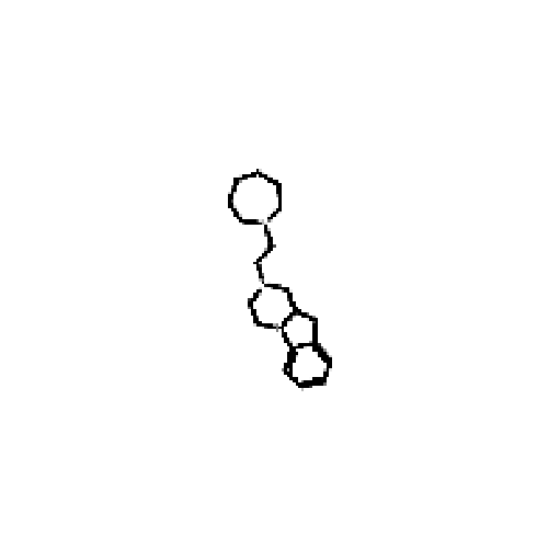 c1ccc2c(c1)CC1CN(CCN3CCCCCC3)CCN21